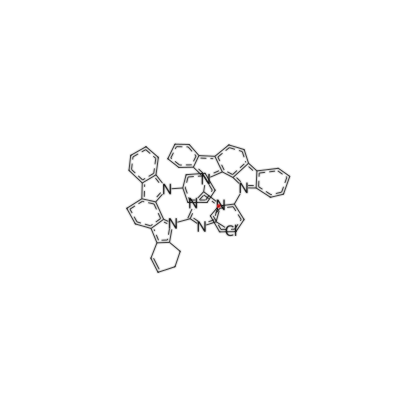 Clc1nc(-n2c3c(c4ccc5c6ccccc6n(-c6ccccc6)c5c42)C=CCC3)nc(-n2c3ccccc3c3ccc4c5ccccc5n(-c5ccccc5)c4c32)n1